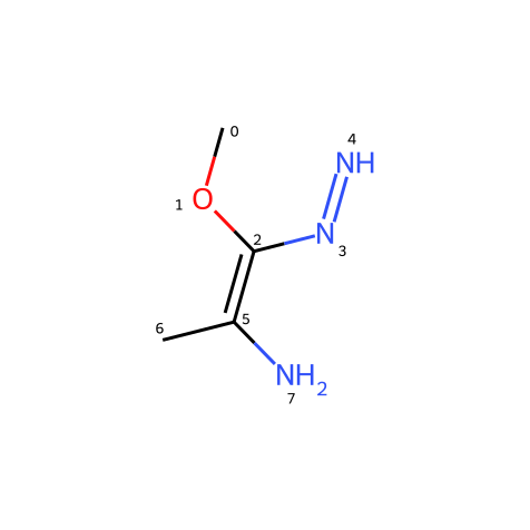 CO/C(N=N)=C(\C)N